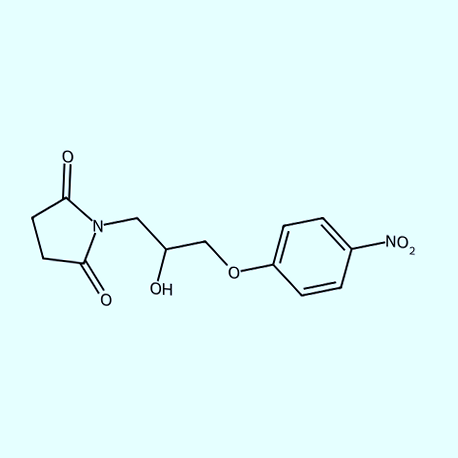 O=C1CCC(=O)N1CC(O)COc1ccc([N+](=O)[O-])cc1